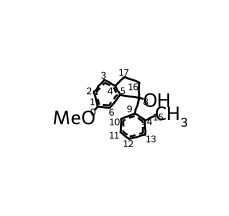 COc1ccc2c(c1)C(O)(c1ccccc1C)CC2